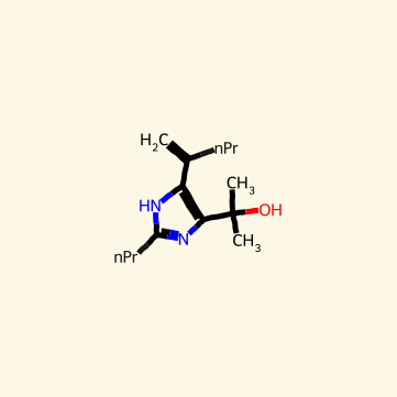 C=C(CCC)c1[nH]c(CCC)nc1C(C)(C)O